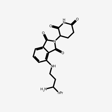 CCCC(N)CCNc1cccc2c1C(=O)N(C1CCC(=O)NC1=O)C2=O